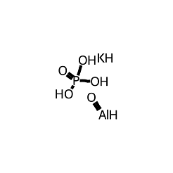 O=P(O)(O)O.[KH].[O]=[AlH]